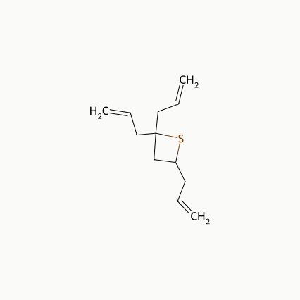 C=CCC1CC(CC=C)(CC=C)S1